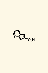 O=C(O)c1cc2cccoc-2c1